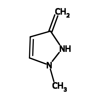 C=C1C=CN(C)N1